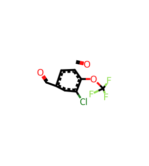 C=O.O=Cc1ccc(OC(F)(F)F)c(Cl)c1